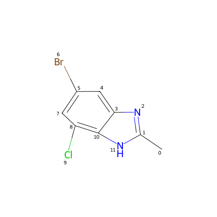 Cc1nc2cc(Br)cc(Cl)c2[nH]1